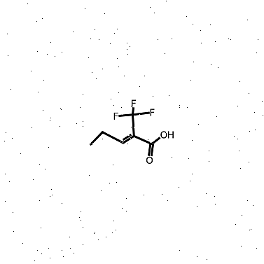 CCC=C(C(=O)O)C(F)(F)F